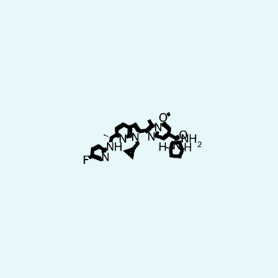 COc1cc(C(=O)N2[C@H]3CC[C@@H]2[C@H](N)C3)cc2nc(-c3cc4ccc([C@@H](C)Nc5ccc(F)cn5)nc4n3CC3CC3)c(C)n12